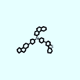 c1ccc2c(c1)ccc1cc(-c3ccc(N(c4ccc(-c5ccc6sc7ccccc7c6c5)cc4)c4ccc5ccc6ccccc6c5c4)cc3)ccc12